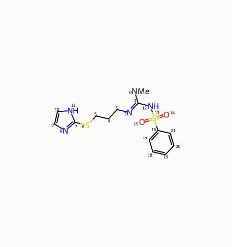 CNC(=NCCCSc1ncc[nH]1)NS(=O)(=O)c1ccccc1